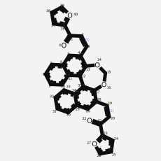 O=C(/C=C\c1cc2ccccc2c2c1OCOc1c(/C=C\C(=O)c3ccco3)cc3ccccc3c1-2)c1ccco1